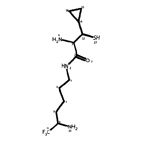 NC(C(=O)NCCCCC(N)C(F)(F)F)C(S)C1CC1